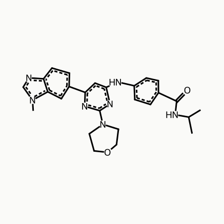 CC(C)NC(=O)c1ccc(Nc2cc(-c3ccc4ncn(C)c4c3)nc(N3CCOCC3)n2)cc1